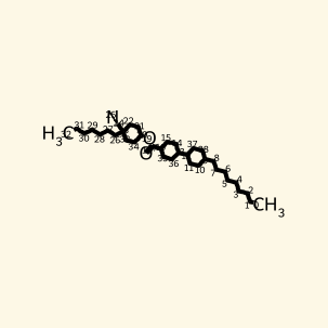 CCCCCCCCCC1CCC(C2CCC(C(=O)OC3CCC(C#N)(CCCCCCC)CC3)CC2)CC1